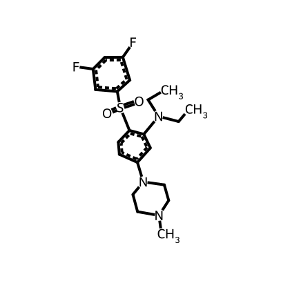 CCN(CC)c1cc(N2CCN(C)CC2)ccc1S(=O)(=O)c1cc(F)cc(F)c1